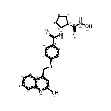 Cc1cc(COc2ccc(C(=O)N[C@@H]3CCC[C@H]3C(=O)NO)cc2)c2ccccc2n1